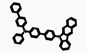 c1ccc(-c2ccc(N(c3ccccc3)c3ccc(-c4ccc(-n5c6ccccc6c6cc7ccccc7cc65)cc4)cc3)cc2)cc1